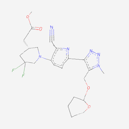 COC(=O)C[C@@H]1CN(c2ccc(-c3nnn(C)c3COC3CCCCO3)nc2C#N)CC(F)(F)C1